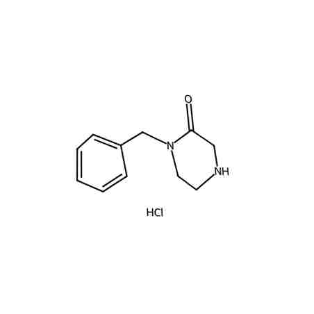 Cl.O=C1CNCCN1Cc1ccccc1